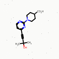 CC(C)(O)C#Cc1ccnc(N2CCC(C(=O)O)CC2)n1